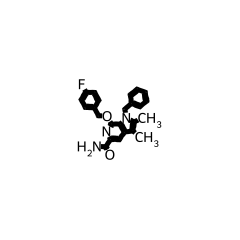 Cc1c(C)n(Cc2ccccc2)c2c(OCc3ccc(F)cc3)nc(C(N)=O)cc12